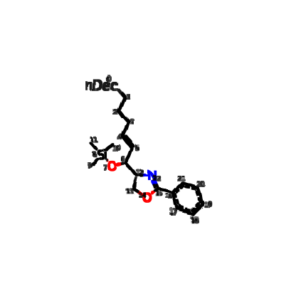 CCCCCCCCCCCCC/C=C/[C@H](O[Si](C)(C)C)[C@@H]1COC(c2ccccc2)=N1